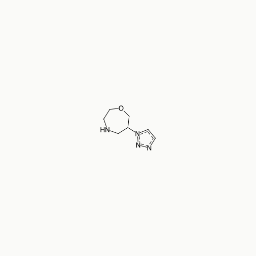 c1cn(C2CNCCOC2)nn1